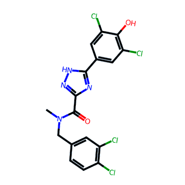 CN(Cc1ccc(Cl)c(Cl)c1)C(=O)c1n[nH]c(-c2cc(Cl)c(O)c(Cl)c2)n1